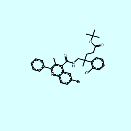 Cc1c(-c2ccccc2)nc2ccc(Br)cc2c1C(=O)NCC(C)(CCC(=O)OC(C)(C)C)c1ccccc1Cl